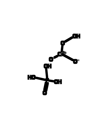 O=P(O)(O)O.[O-][Cl+2]([O-])OO